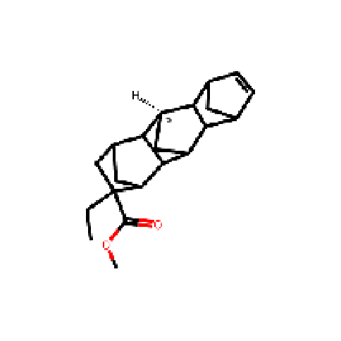 CCC1(C(=O)OC)CC2CC1C1C3C[C@H](C4C5C=CC(C5)C34)C21